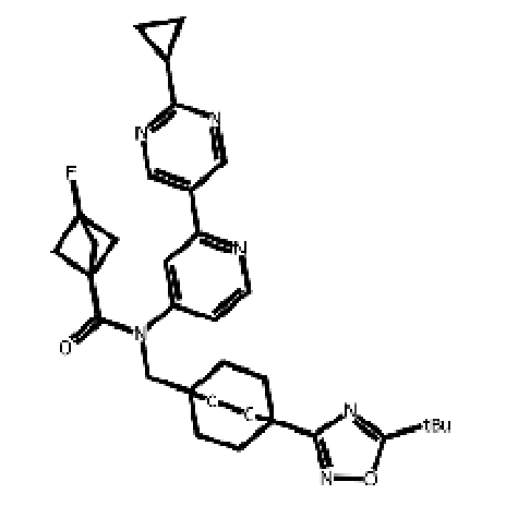 CC(C)(C)c1nc(C23CCC(CN(C(=O)C45CC(F)(C4)C5)c4ccnc(-c5cnc(C6CC6)nc5)c4)(CC2)CC3)no1